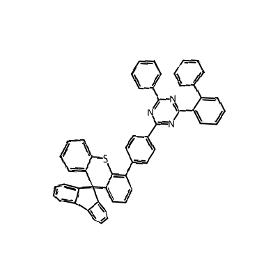 c1ccc(-c2nc(-c3ccc(-c4cccc5c4Sc4ccccc4C54c5ccccc5-c5ccccc54)cc3)nc(-c3ccccc3-c3ccccc3)n2)cc1